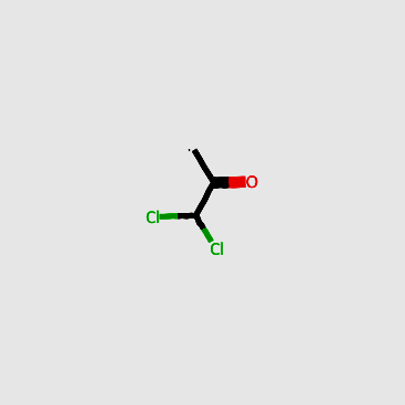 [CH2]C(=O)C(Cl)Cl